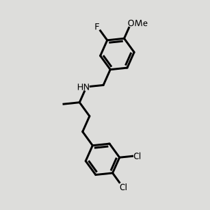 COc1ccc(CNC(C)CCc2ccc(Cl)c(Cl)c2)cc1F